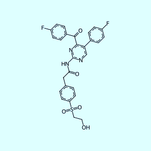 O=C(Cc1ccc(S(=O)(=O)CCO)cc1)Nc1ncc(-c2ccc(F)cc2)c(C(=O)c2ccc(F)cc2)n1